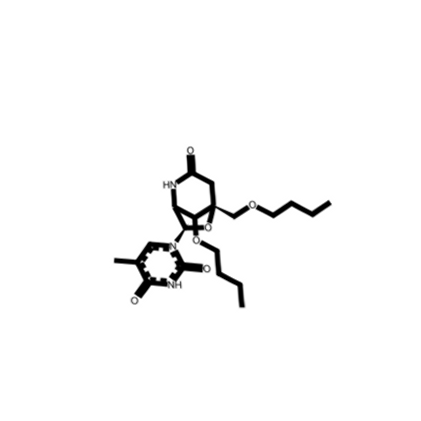 CCCCOC[C@]12CC(=O)NC(C1OCCCC)[C@H](n1cc(C)c(=O)[nH]c1=O)O2